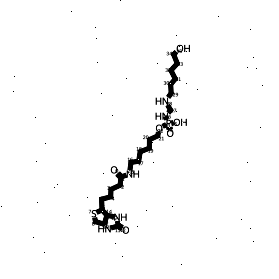 O=C(CCCCC1SCC2NC(=O)NC21)NCCCCCCOP(=O)(O)NCNCCCCCCO